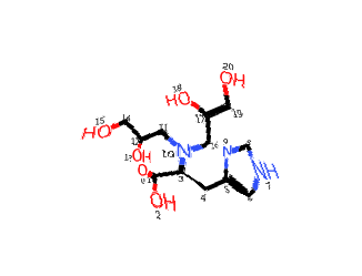 O=C(O)[C@H](Cc1c[nH]cn1)N(CC(O)CO)CC(O)CO